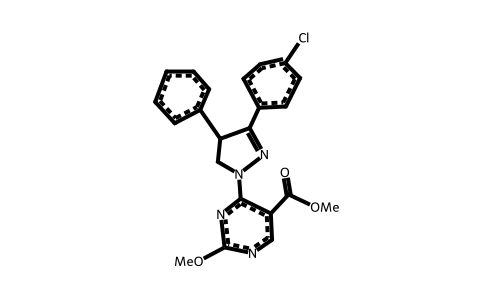 COC(=O)c1cnc(OC)nc1N1CC(c2ccccc2)C(c2ccc(Cl)cc2)=N1